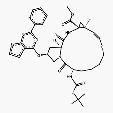 COC(=O)[C@@]12C[C@H]1/C=C\CCCCC[C@H](NC(=O)OC(C)(C)C)C(=O)N1C[C@H](Oc3nc(-c4ccccn4)nc4sccc34)C[C@H]1C(=O)N2